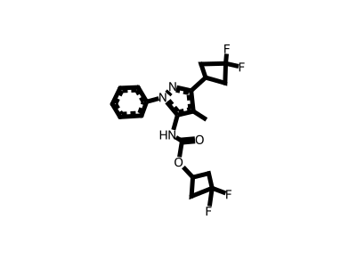 Cc1c(C2CC(F)(F)C2)nn(-c2ccccc2)c1NC(=O)OC1CC(F)(F)C1